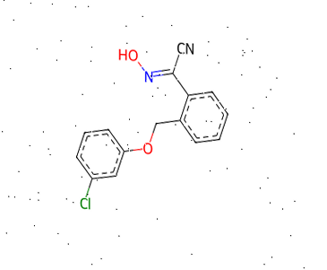 N#CC(=NO)c1ccccc1COc1cccc(Cl)c1